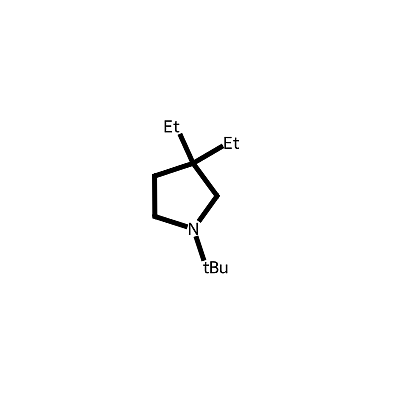 CCC1(CC)CCN(C(C)(C)C)C1